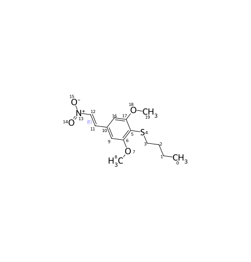 CCCCSc1c(OC)cc(/C=C/[N+](=O)[O-])cc1OC